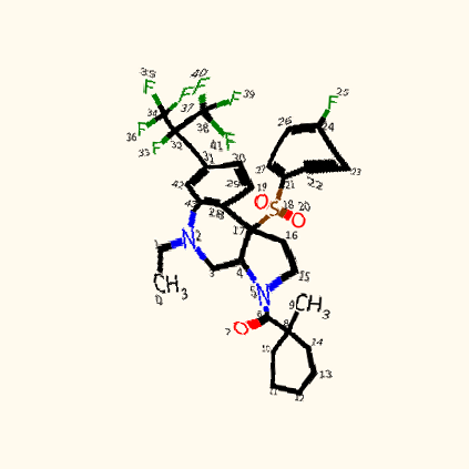 CCN1CC2N(C(=O)C3(C)CCCCC3)CCC2(S(=O)(=O)c2ccc(F)cc2)c2ccc(C(F)(C(F)(F)F)C(F)(F)F)cc21